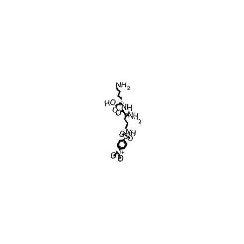 NCCCC[C@H](NC(=O)[C@@H](N)CCCNS(=O)(=O)c1ccc([N+](=O)[O-])cc1)C(=O)O